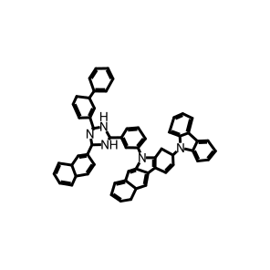 C1=CCC2C=c3c4c(n(-c5cccc(C6NC(C7=CC(c8ccccc8)CC=C7)=NC(C7=CC8C=CC=CC8C=C7)N6)c5)c3=CC2=C1)CC(n1c2ccccc2c2ccccc21)C=C4